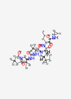 CCCC(NC(=O)[C@@H]1[C@H]2CCC3(CC3)[C@H]2CN1C(=O)[C@@H](NC(=O)N[C@H](CN1C(=O)CC(C)(C)CC1=O)C(C)(C)C)C(C)(C)C)C(=O)C(=O)NC1CC1